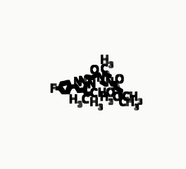 CC(C)c1cc(-c2ccc(F)cc2)nn2cc(C(=O)N3CCN(C(=O)[C@H](O)CC(C)(C)C)C[C@H]3C)nc12